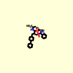 CC(=O)OC(OP(=O)(C[C@@H](Cc1ccc(-c2ccccc2)cc1)C(=O)N[C@H](C)C(=O)O)C(N)c1ccccc1)C(C)C